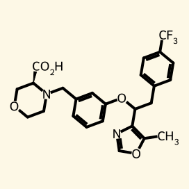 Cc1ocnc1C(Cc1ccc(C(F)(F)F)cc1)Oc1cccc(CN2CCOC[C@H]2C(=O)O)c1